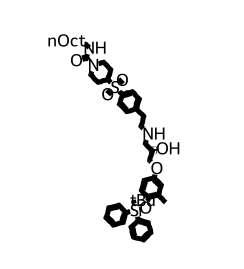 CCCCCCCCNC(=O)N1CCC(S(=O)(=O)c2ccc(CCNC[C@H](O)COc3ccc(O[Si](c4ccccc4)(c4ccccc4)C(C)(C)C)c(C)c3)cc2)CC1